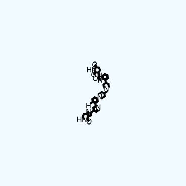 Cc1ccc(N2CCC(CN3CCC(c4cccc5c4n(C)c(=O)n5C4CCC(=O)NC4=O)CC3)CC2)cc1-c1cc(-c2cc3c([nH]2)CCNC3=O)ccn1